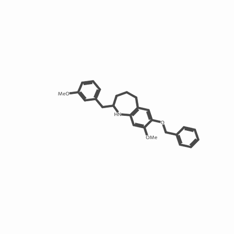 COc1cccc(CC2CCCc3cc(OCc4ccccc4)c(OC)cc3N2)c1